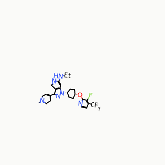 CCNc1cc2c(cn1)c(C1=CCN(C)CC1)nn2[C@H]1CC[C@@H](Oc2nccc(C(F)(F)F)c2F)CC1